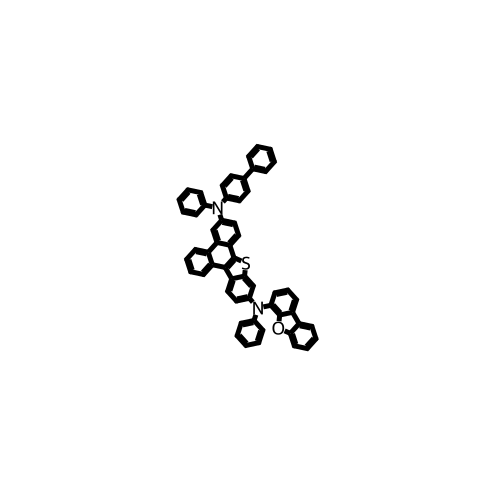 c1ccc(-c2ccc(N(c3ccccc3)c3ccc4c(c3)c3ccccc3c3c5ccc(N(c6ccccc6)c6cccc7c6oc6ccccc67)cc5sc43)cc2)cc1